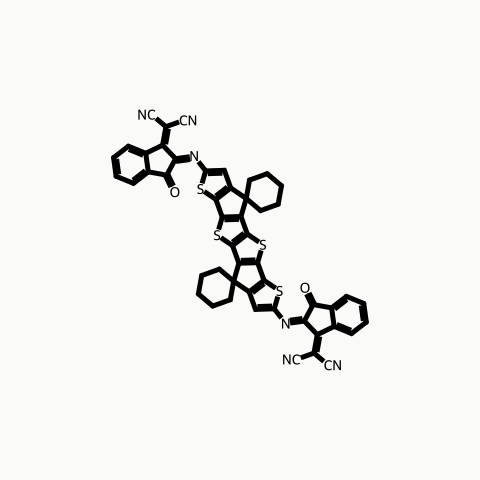 N#CC(C#N)=C1/C(=N/c2cc3c(s2)-c2sc4c5c(sc4c2C32CCCCC2)-c2sc(/N=C3\C(=O)c4ccccc4C3=C(C#N)C#N)cc2C52CCCCC2)C(=O)c2ccccc21